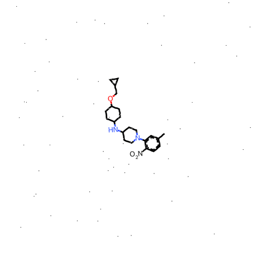 Cc1ccc([N+](=O)[O-])c(N2CCC(NC3CCC(OCC4CC4)CC3)CC2)c1